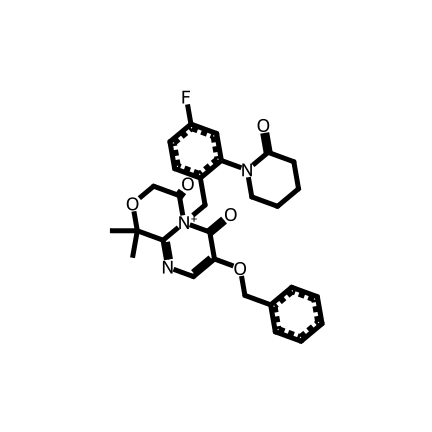 CC1(C)OCC(=O)[N+]2(Cc3ccc(F)cc3N3CCCCC3=O)C(=O)C(OCc3ccccc3)=CN=C12